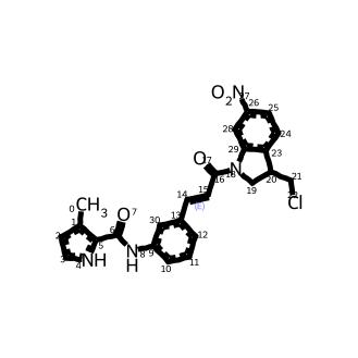 Cc1cc[nH]c1C(=O)Nc1cccc(/C=C/C(=O)N2CC(CCl)c3ccc([N+](=O)[O-])cc32)c1